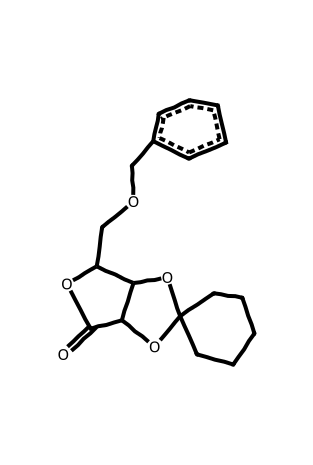 O=C1OC(COCc2ccccc2)C2OC3(CCCCC3)OC12